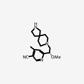 CO[C@@H](CN1CCC2(CCNC2)CC1)c1cc(C)c(C#N)cn1